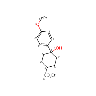 CCCOc1ccc(C2(O)CCC(C(=O)OCC)CC2)cc1